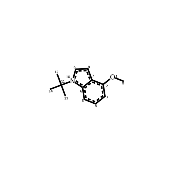 COc1cccc2c1ccn2C(C)(C)C